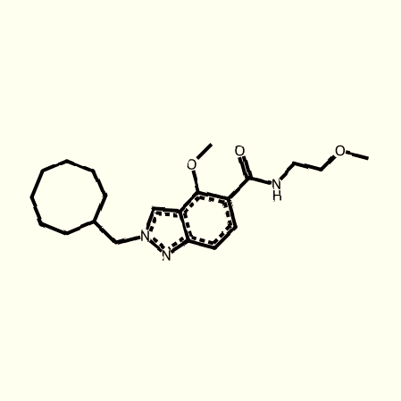 COCCNC(=O)c1ccc2nn(CC3CCCCCCC3)cc2c1OC